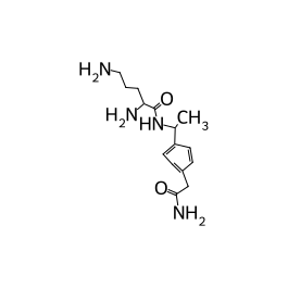 CC(NC(=O)C(N)CCCN)c1ccc(CC(N)=O)cc1